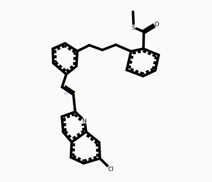 CSC(=O)c1ccccc1CCCc1cccc(/C=C/c2ccc3ccc(Cl)cc3n2)c1